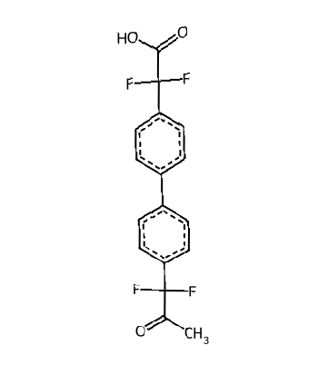 CC(=O)C(F)(F)c1ccc(-c2ccc(C(F)(F)C(=O)O)cc2)cc1